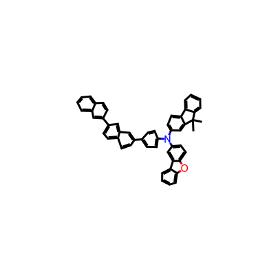 CC1(C)c2ccccc2-c2ccc(N(c3ccc(-c4ccc5ccc(-c6ccc7ccccc7c6)cc5c4)cc3)c3ccc4oc5ccccc5c4c3)cc21